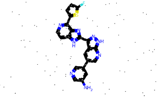 Nc1cncc(-c2cnc3[nH]nc(-c4nc5c(-c6ccc(F)s6)nccc5[nH]4)c3c2)c1